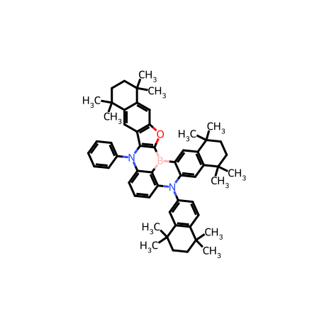 CC1(C)CCC(C)(C)c2cc(N3c4cc5c(cc4B4c6oc7cc8c(cc7c6N(c6ccccc6)c6cccc3c64)C(C)(C)CCC8(C)C)C(C)(C)CCC5(C)C)ccc21